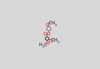 COc1ccc(C(=O)OC2CCC(OC)CC2)cc1OC